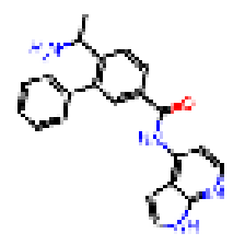 CC(N)c1ccc(C(=O)Nc2ccnc3[nH]ccc23)cc1-c1ccccc1